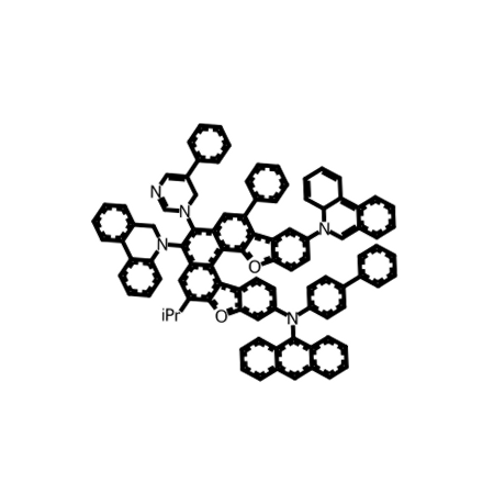 CC(C)c1cc2c(N3Cc4ccccc4-c4ccccc43)c(N3C=NC=C(c4ccccc4)C3)c3cc(-c4ccccc4)c4c5cc(N6C=c7ccccc7=C7C=CC=CC76)ccc5oc4c3c2c2c1oc1cc(N(c3ccc(-c4ccccc4)cc3)c3c4ccccc4cc4ccccc34)ccc12